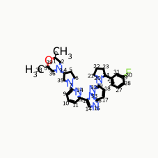 C[C@@H]1CN(C2CCN(c3cccc(-c4cnc5ccc(N6CCCC6c6cccc(F)c6)nn45)n3)C2)C[C@H](C)O1